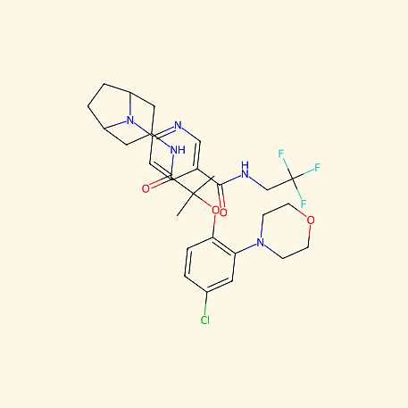 CC(C)(Oc1ccc(Cl)cc1N1CCOCC1)C(=O)NC1CC2CCC(C1)N2c1ccc(C(=O)NCC(F)(F)F)cn1